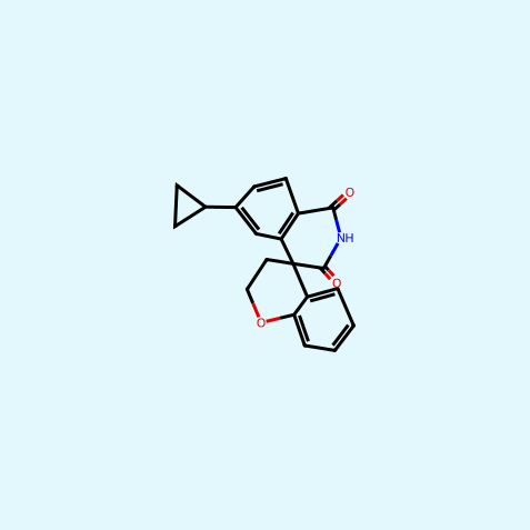 O=C1NC(=O)C2(CCOc3ccccc32)c2cc(C3CC3)ccc21